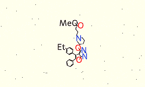 CCc1ccc(-c2c(-c3ccccc3)oc3ncnc(O[C@@H]4CCCN(CCCC(=O)OC)C4)c23)cc1